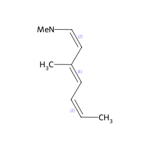 C\C=C/C=C(C)/C=C\NC